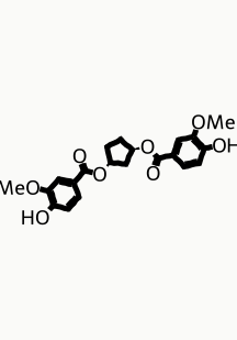 COc1cc(C(=O)O[C@@H]2CC[C@H](OC(=O)c3ccc(O)c(OC)c3)C2)ccc1O